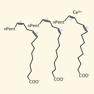 CCCCC/C=C\C/C=C\CCCCCCCC(=O)[O-].CCCCC/C=C\C/C=C\CCCCCCCC(=O)[O-].CCCCC/C=C\C/C=C\CCCCCCCC(=O)[O-].[Ce+3]